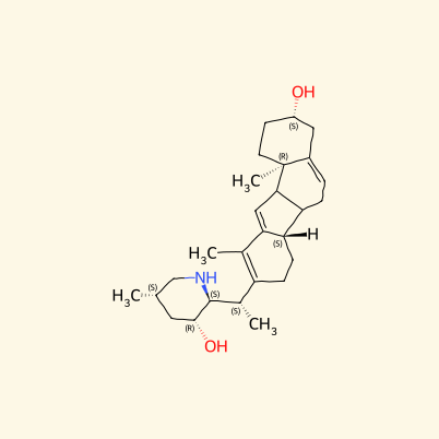 CC1=C([C@H](C)[C@@H]2NC[C@@H](C)C[C@H]2O)CC[C@@H]2C1=CC1C2CC=C2C[C@@H](O)CC[C@@]21C